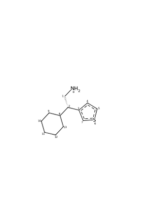 NC[C@H](c1ccsc1)C1CCCCC1